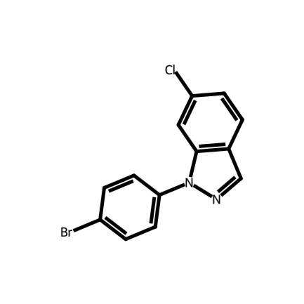 Clc1ccc2cnn(-c3ccc(Br)cc3)c2c1